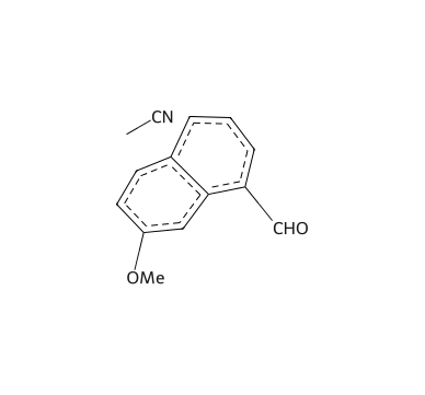 CC#N.COc1ccc2cccc(C=O)c2c1